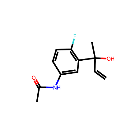 C=CC(C)(O)c1cc(NC(C)=O)ccc1F